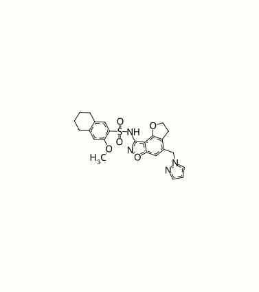 COc1cc2c(cc1S(=O)(=O)Nc1noc3cc(Cn4cccn4)c4c(c13)OCC4)CCCC2